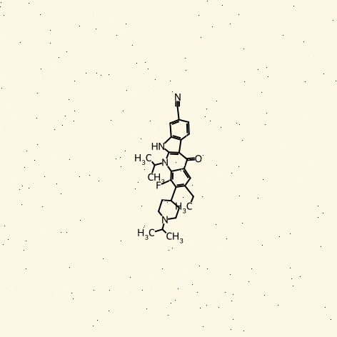 CCc1cc2c(=O)c3c4ccc(C#N)cc4[nH]c3n(C(C)C)c2c(F)c1C1CCN(C(C)C)CC1